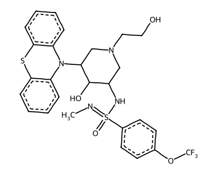 CN=S(=O)(NC1CN(CCO)CC(N2c3ccccc3Sc3ccccc32)C1O)c1ccc(OC(F)(F)F)cc1